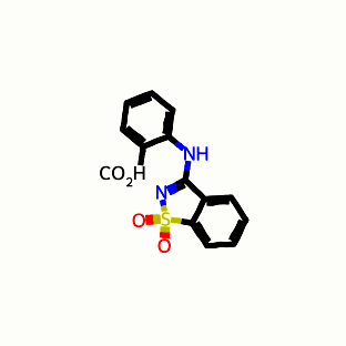 O=C(O)c1ccccc1NC1=NS(=O)(=O)c2ccccc21